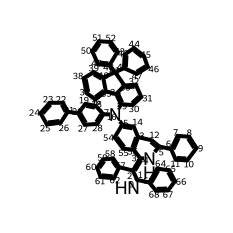 N=C(/C(=C1\NC(c2ccccc2)=Cc2cc(N(c3ccc(-c4ccccc4)cc3)c3cccc4c3-c3ccccc3C4(c3ccccc3)c3ccccc3)ccc21)c1ccccc1)c1ccccc1